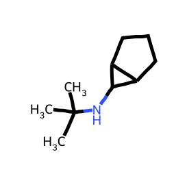 CC(C)(C)NC1C2CCCC21